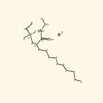 CCCCCCCCCCC(C[N+](C)(C)CC)C(=S)NSC.[Br-]